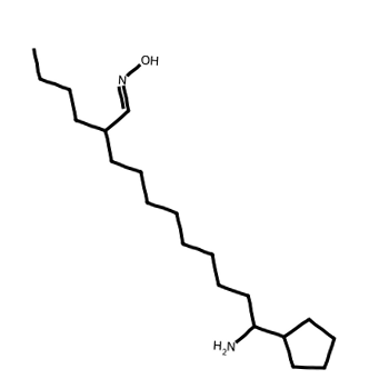 CCCCC(C=NO)CCCCCCCCC(N)C1CCCC1